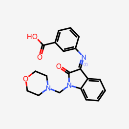 O=C(O)c1cccc(/N=C2\C(=O)N(CN3CCOCC3)c3ccccc32)c1